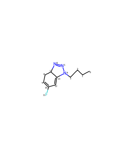 CCCCN1N=NC2CC=C(F)C=C21